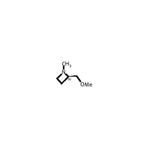 COC[C@H]1CCN1C